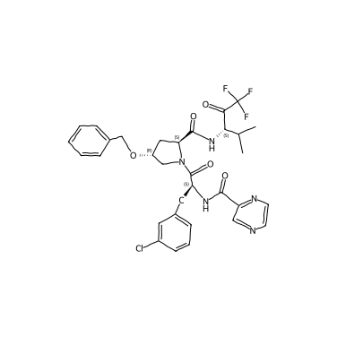 CC(C)[C@H](NC(=O)[C@@H]1C[C@@H](OCc2ccccc2)CN1C(=O)[C@H](Cc1cccc(Cl)c1)NC(=O)c1cnccn1)C(=O)C(F)(F)F